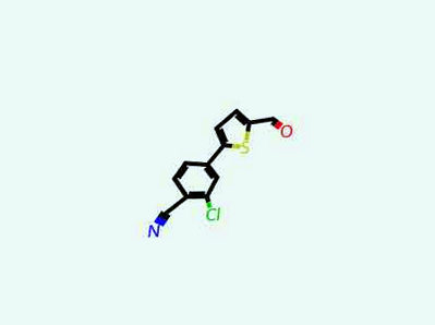 N#Cc1ccc(-c2ccc(C=O)s2)cc1Cl